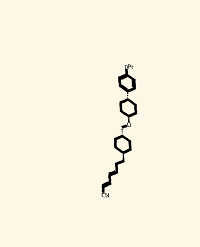 CCCc1ccc([C@H]2CC[C@H](OC[C@H]3CC[C@H](CCC=CC=CC#N)CC3)CC2)cc1